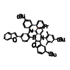 Cc1cc(C(C)(C)C)cc(C)c1N1c2cc(C(C)C)cc3c2B(c2ccc(-c4cc5ccccc5o4)cc2N3c2ccc(C(C)(C)C)cc2-c2ccccc2)c2oc3ccc(C(C)(C)C)cc3c21